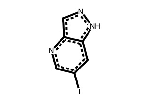 Ic1cnc2cn[nH]c2c1